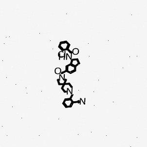 N#Cc1ccccc1CN1CCC2(CC1)CCN(C(=O)c1ccc3c(c1)C(NC(=O)c1ccccc1Cl)CC3)C2